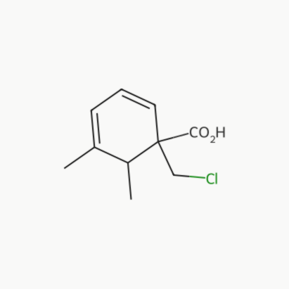 CC1=CC=CC(CCl)(C(=O)O)C1C